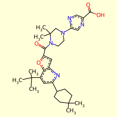 CC1(C)CCC(c2cc(C(C)(C)C)c3oc(C(=O)N4CCN(c5cnc(C(=O)O)cn5)CC4(C)C)cc3n2)CC1